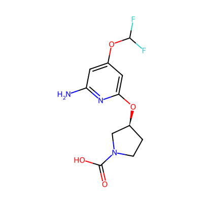 Nc1cc(OC(F)F)cc(O[C@H]2CCN(C(=O)O)C2)n1